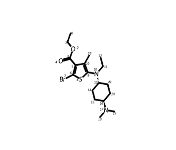 CCOC(=O)c1c(Br)sc(N(CC)[C@H]2CC[C@H](N(C)C)CC2)c1C